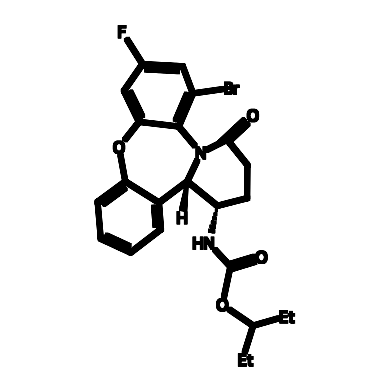 CCC(CC)OC(=O)N[C@H]1CCC(=O)N2c3c(Br)cc(F)cc3Oc3ccccc3[C@@H]12